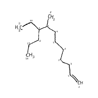 [CH]=CCCCCCC(C)C(CC)CCC